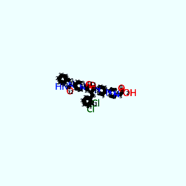 O=C(O)CN1CCN(C2CCN(C(=O)[C@@H](CC(=O)N3CCC(N4Cc5ccccc5NC4=O)CC3)Cc3cccc(Cl)c3Cl)CC2)CC1